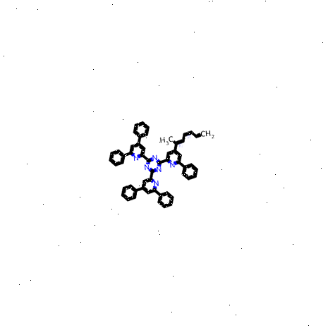 C=C/C=C\C=C(/C)c1cc(-c2ccccc2)nc(-c2nc(-c3cc(-c4ccccc4)cc(-c4ccccc4)n3)nc(-c3cc(-c4ccccc4)cc(-c4ccccc4)n3)n2)c1